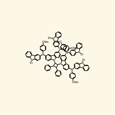 CCn1c2ccccc2c2cc(N(c3ccc(OC)cc3)c3ccc4c(c3)c3cc(N(c5ccc(OC)cc5)c5ccc6c(c5)c5ccccc5n6CC)ccc3n4C3C(c4ccccc4)C(c4ccccc4)C3n3c4ccc(N(c5ccc(OC)cc5)c5ccc6c(c5)c5ccccc5n6CC)cc4c4cc(N(c5ccc(OC)cc5)c5ccc6c(c5)c5ccccc5n6CC)ccc43)ccc21